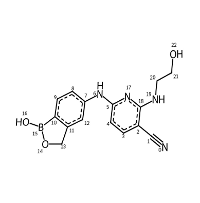 N#Cc1ccc(Nc2ccc3c(c2)COB3O)nc1NCCO